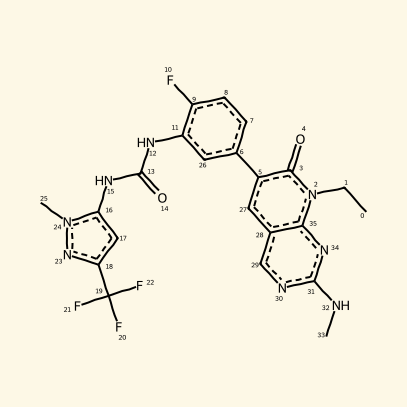 CCn1c(=O)c(-c2ccc(F)c(NC(=O)Nc3cc(C(F)(F)F)nn3C)c2)cc2cnc(NC)nc21